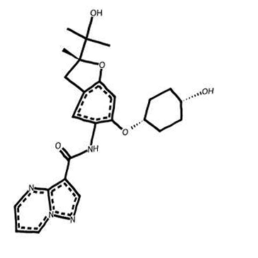 CC(C)(O)[C@@]1(C)Cc2cc(NC(=O)c3cnn4cccnc34)c(O[C@H]3CC[C@@H](O)CC3)cc2O1